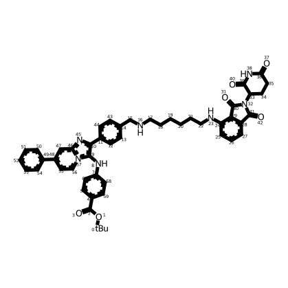 CC(C)(C)OC(=O)c1ccc(Nc2c(-c3ccc(CNCCCCCCNc4cccc5c4C(=O)N(C4CCC(=O)NC4=O)C5=O)cc3)nc3cc(-c4ccccc4)ccn23)cc1